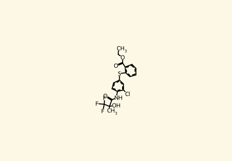 CCOC(=O)c1ccccc1Sc1ccc(NC(=O)C(C)(O)C(F)(F)F)c(Cl)c1